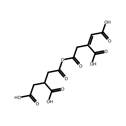 O=C(O)C=C(CC(=O)OC(=O)CC(CC(=O)O)C(=O)O)C(=O)O